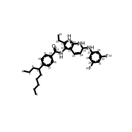 CCCCCC(CCC)c1ccc(C(=O)Nc2c(CC)[nH]c3c2C=CC(Nc2cc(F)cc(F)c2)N3)cc1